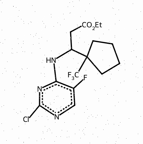 CCOC(=O)CC(Nc1nc(Cl)ncc1F)C1(C(F)(F)F)CCCC1